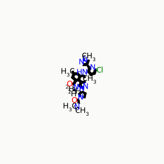 [2H]C([2H])([2H])n1c(=O)c2cc(C)cc(C(C)Nc3ccc(Cl)nc3-c3cnn(C)c3)c2c2cnn(C3CCN(C(=O)CN(C)C)C3)c21